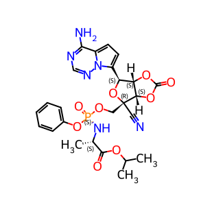 CC(C)OC(=O)[C@H](C)N[P@](=O)(OC[C@@]1(C#N)O[C@@H](c2ccc3c(N)ncnn23)[C@@H]2OC(=O)O[C@@H]21)Oc1ccccc1